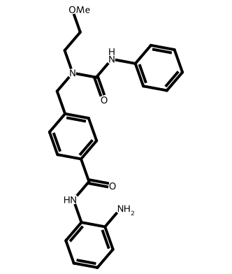 COCCN(Cc1ccc(C(=O)Nc2ccccc2N)cc1)C(=O)Nc1ccccc1